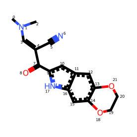 CN(C)C=C(C#N)C(=O)c1cc2cc3c(cc2[nH]1)OCCO3